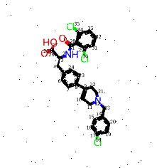 O=C(N[C@@H](Cc1ccc(C2=CCN(Cc3ccc(Cl)cc3)CC2)cc1)C(=O)O)c1c(Cl)cccc1Cl